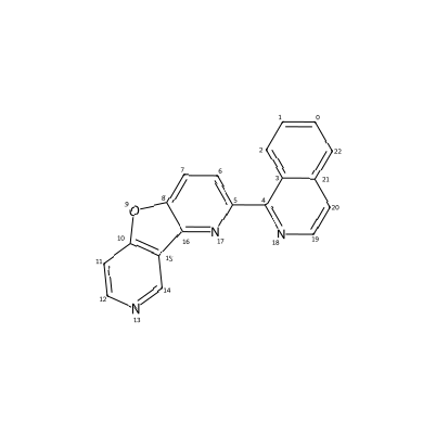 c1ccc2c(-c3ccc4oc5ccncc5c4n3)nccc2c1